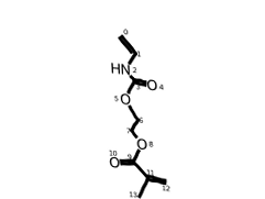 C=CNC(=O)OCCOC(=O)C(=C)C